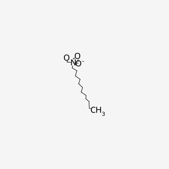 CCCCCCCCCCCC[N+]([O-])(C=O)C=O